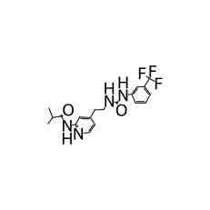 CC(C)C(=O)Nc1cc(CCNC(=O)Nc2cccc(C(F)(F)F)c2)ccn1